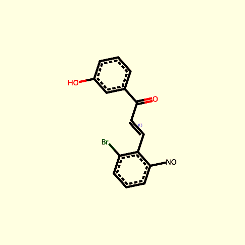 O=Nc1cccc(Br)c1/C=C/C(=O)c1cccc(O)c1